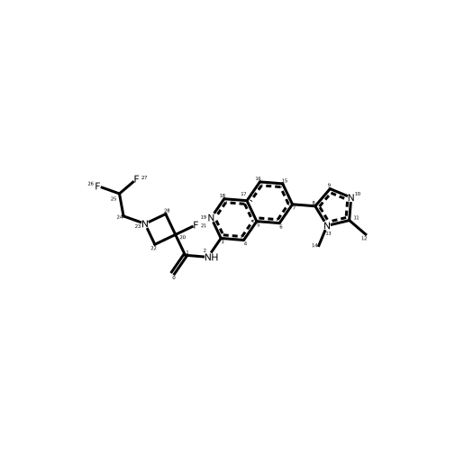 C=C(Nc1cc2cc(-c3cnc(C)n3C)ccc2cn1)C1(F)CN(CC(F)F)C1